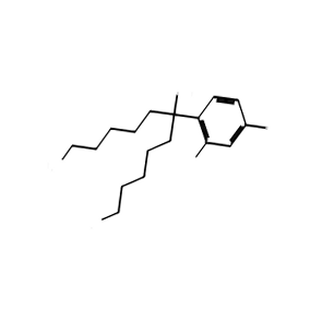 CCCCCCC(C)(CCCCCC)c1ccc(F)cc1C